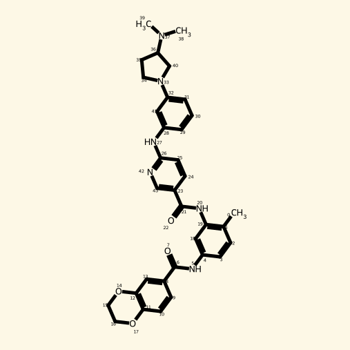 Cc1ccc(NC(=O)c2ccc3c(c2)OCCO3)cc1NC(=O)c1ccc(Nc2cccc(N3CCC(N(C)C)C3)c2)nc1